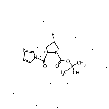 CC(C)(C)OC(=O)N1CC(F)C[C@@H]1C(=O)n1ccnc1